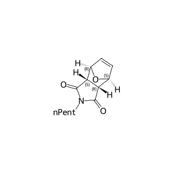 CCCCCN1C(=O)[C@@H]2[C@H](C1=O)[C@H]1C=C[C@@H]2O1